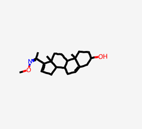 CO/N=C(/C)C1=CCC2C3CC=C4CC(O)CCC4(C)C3CCC12C